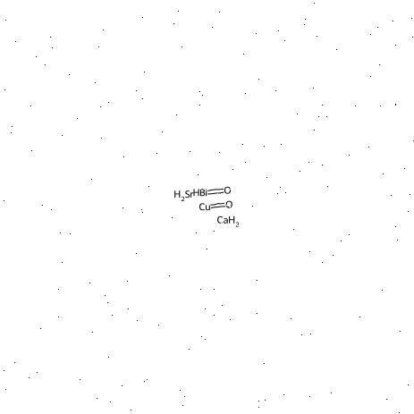 [CaH2].[O]=[BiH].[O]=[Cu].[SrH2]